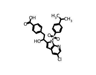 CC(C)c1ccc(S(=O)(=O)n2c(C(O)Cc3ccc(C(=O)O)cc3)cc3cc(Cl)cnc32)cc1